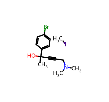 CI.CN(C)CC#CC(C)(O)c1ccc(Br)cc1